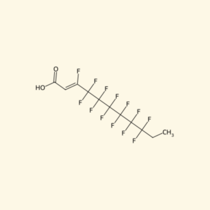 CCC(F)(F)C(F)(F)C(F)(F)C(F)(F)C(F)(F)C(F)(F)C(F)=CC(=O)O